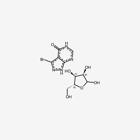 O=c1[nH]cnc2[nH]nc(Br)c12.OC[C@H]1OC(O)[C@H](O)[C@@H]1O